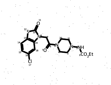 CCOC(=O)NN1CCN(C(=O)Cn2c(=O)sc3ccc(Cl)cc32)CC1